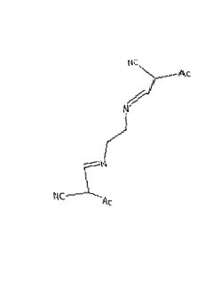 CC(=O)C(C#N)C=NCCN=CC(C#N)C(C)=O